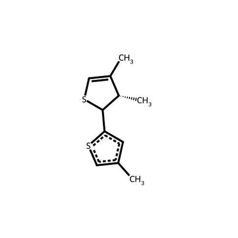 CC1=CSC(c2cc(C)cs2)[C@H]1C